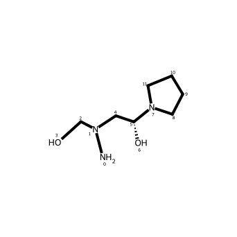 NN(CO)C[C@@H](O)N1CCCC1